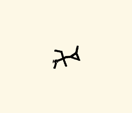 CCC(C)(NC)C1CC1C